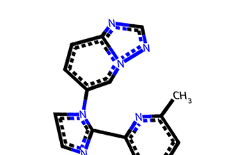 Cc1cccc(-c2nccn2-c2ccc3ncnn3c2)n1